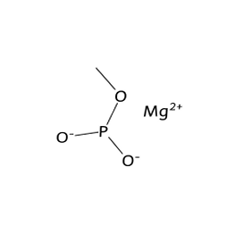 COP([O-])[O-].[Mg+2]